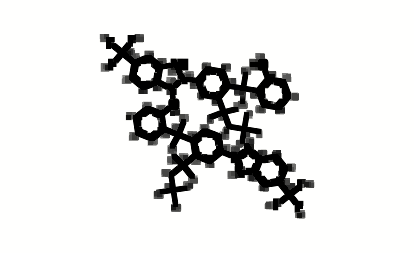 CC(C)(C)CC(C)(C)c1cc(N2Nc3cc(C(F)(F)F)ccc3N2Oc2ccccc2C(C)(C)c2ccc(-n3nc4ccc(C(F)(F)F)cc4n3)cc2C(C)(C)CC(C)(C)C)ccc1C(C)(C)c1ccccc1O